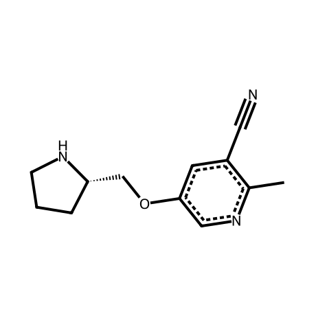 Cc1ncc(OC[C@@H]2CCCN2)cc1C#N